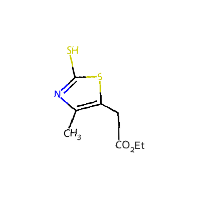 CCOC(=O)Cc1sc(S)nc1C